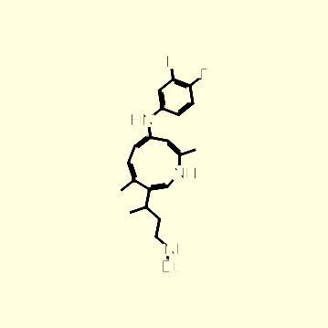 CCNCCC(C)c1c[nH]c(C)cc(Nc2ccc(F)c(F)c2)ccc1C